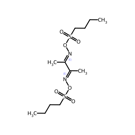 CCCCS(=O)(=O)O/N=C(C)/C(C)=N/OS(=O)(=O)CCCC